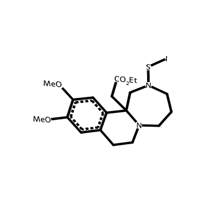 CCOC(=O)CC12CN(SI)CCCN1CCc1cc(OC)c(OC)cc12